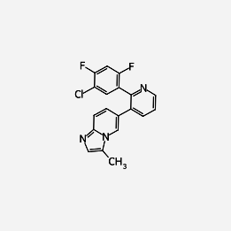 Cc1cnc2ccc(-c3cccnc3-c3cc(Cl)c(F)cc3F)cn12